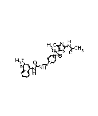 CC(=O)Nc1nc(C)c(S(=O)(=O)N2CCN(CCNC(=O)Nc3cc(C)nc4ccccc34)CC2)s1